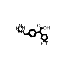 O=C(O)C(c1ccc(Cn2cnnn2)cc1)C1CCC(F)(F)C1